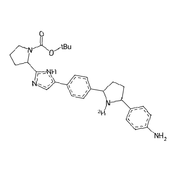 [2H]N1C(c2ccc(N)cc2)CCC1c1ccc(-c2cnc(C3CCCN3C(=O)OC(C)(C)C)[nH]2)cc1